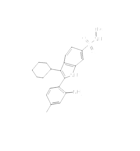 Cc1ccc(-c2[nH]c3cc(S(=O)(=O)NC(C)(C)C)ccc3c2C2CCCCC2)c(N)c1